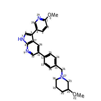 COc1ccc(-c2c[nH]c3ncc(-c4ccc(CN5CCCC(OC)C5)cc4)cc23)cn1